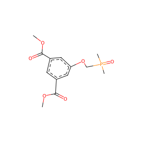 COC(=O)c1cc(OCP(C)(C)=O)cc(C(=O)OC)c1